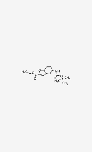 CCOC(=O)c1cc2cc(NC(=O)OC(C)(C)C)ccc2o1